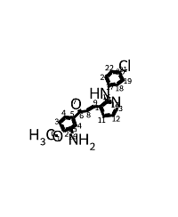 COc1ccc(C(=O)C=Cc2cccnc2Nc2ccc(Cl)cc2)cc1N